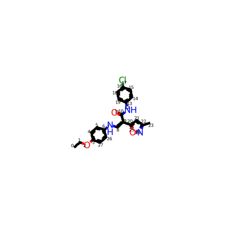 CCOc1ccc(NC=C(C(=O)Nc2ccc(Cl)cc2)c2cc(C)no2)cc1